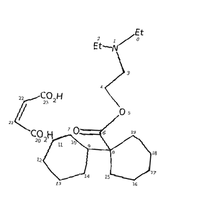 CCN(CC)CCOC(=O)C1(C2CCCCC2)CCCCC1.O=C(O)/C=C\C(=O)O